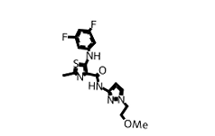 COCCn1ccc(NC(=O)c2nc(C)sc2Nc2cc(F)cc(F)c2)n1